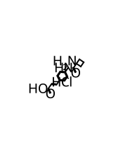 Cl.NC1(C(=O)Nc2ccc(C=CC(=O)O)cc2)CCC1